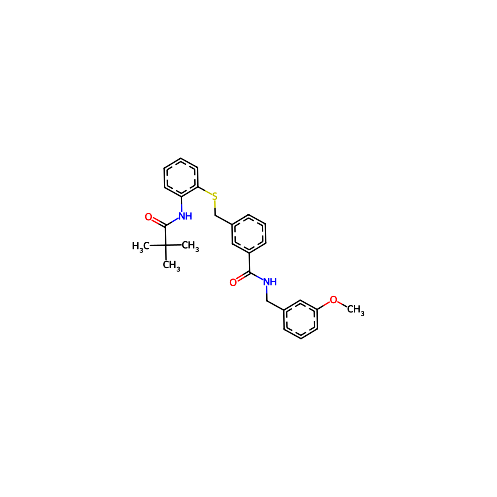 COc1cccc(CNC(=O)c2cccc(CSc3ccccc3NC(=O)C(C)(C)C)c2)c1